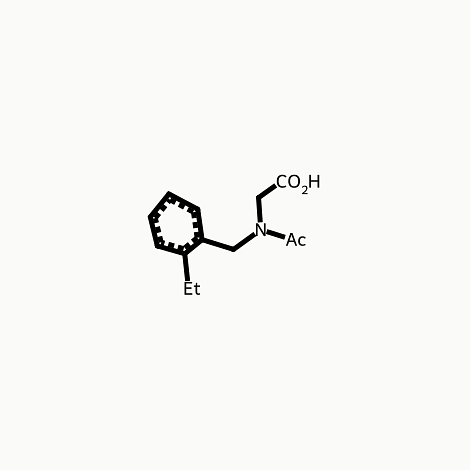 CCc1ccccc1CN(CC(=O)O)C(C)=O